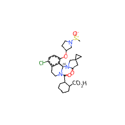 C[S+]([O-])N1CCC(Oc2ccc(Cl)c3c2[C@@H](N2CC4(CC4)CC2=O)N(C(=O)C2CCCCC2C(=O)O)CC3)C1